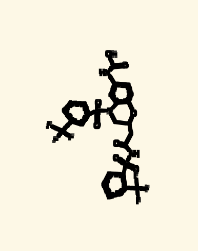 O=C(O)Nc1ccc2c(c1)N(S(=O)(=O)c1cccc(C(F)(F)F)c1)CC(CC(=O)NS(=O)(=O)c1ccccc1C(F)(F)F)O2